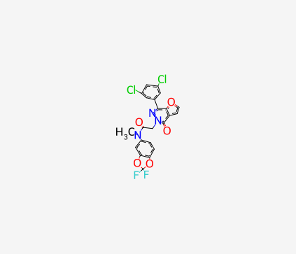 CN(C(=O)Cn1nc(-c2cc(Cl)cc(Cl)c2)c2occc2c1=O)c1ccc2c(c1)OC(F)(F)O2